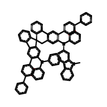 Cn1c2ccccc2c2ccc(N(c3ccccc3)c3cc4c(cc3-c3ccc(-c5ccccc5)cc3)-c3ccccc3C3(C4)c4ccccc4-c4cc(-c5ccc(-c6ccccc6)cc5)c(N(c5ccccc5)c5ccccc5)cc43)cc21